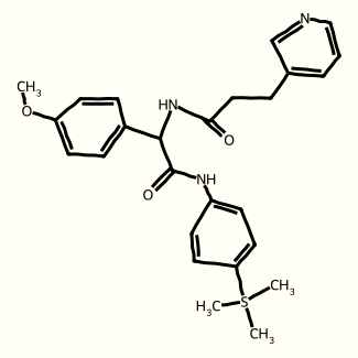 COc1ccc(C(NC(=O)CCc2cccnc2)C(=O)Nc2ccc(S(C)(C)C)cc2)cc1